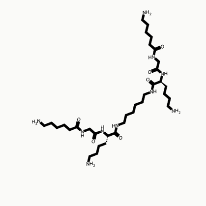 NCCCCCC(=O)NCC(=O)N[C@@H](CCCCN)C(=O)NCCCCCCNC(=O)[C@H](CCCCN)NC(=O)CNC(=O)CCCCCN